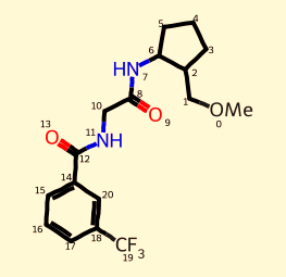 COCC1CCCC1NC(=O)CNC(=O)c1cccc(C(F)(F)F)c1